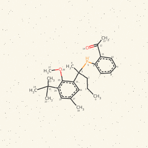 CCCC(C)(Pc1ccccc1C(C)=O)c1cc(C)cc(C(C)(C)C)c1OC